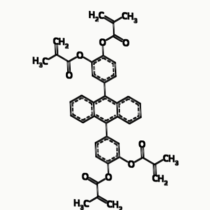 C=C(C)C(=O)Oc1ccc(-c2c3ccccc3c(-c3ccc(OC(=O)C(=C)C)c(OC(=O)C(=C)C)c3)c3ccccc23)cc1OC(=O)C(=C)C